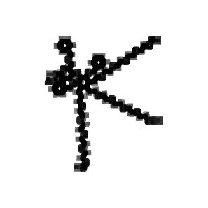 CC(=O)NC1C(O)OC(COCc2ccccc2)C(OC2OC(CCCOCCOCCOCCOCCOO)C(CCOCCOCCOCCOCCOO)C(CCOCCOCCOCCOCCOO)C2OCc2ccccc2)C1OCc1ccccc1